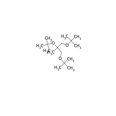 CC(C)(C)OCC(C)(COC(C)(C)C)OC(C)(C)C